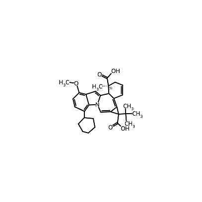 COc1ccc(C2CCCCC2)c2c1cc1n2C=C2C(=C3C=CC[C@](C)(C(=O)O)C31)C2(C(=O)O)C(C)(C)C